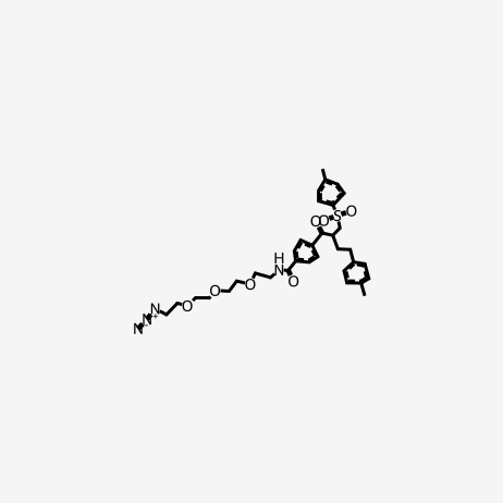 Cc1ccc(CCC(CS(=O)(=O)c2ccc(C)cc2)C(=O)c2ccc(C(=O)NCCOCCOCCOCCN=[N+]=[N-])cc2)cc1